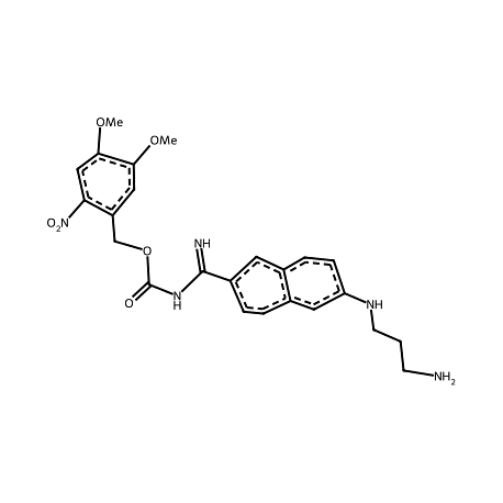 COc1cc(COC(=O)NC(=N)c2ccc3cc(NCCCN)ccc3c2)c([N+](=O)[O-])cc1OC